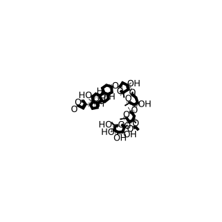 CC(=O)O[C@@H]1C[C@](C)(O[C@H]2[C@@H](O)C[C@H](O[C@H]3[C@@H](O)C[C@@H](O[C@H]4CC[C@@]5(C)[C@H](CC[C@@H]6[C@@H]5C[C@@H](O)[C@]5(C)[C@@H](C7=CC(=O)OC7)CC[C@]65O)C4)O[C@@H]3C)O[C@@H]2C)O[C@H](C)[C@H]1O[C@@H]1O[C@H](CO)[C@@H](O)[C@H](O)[C@H]1O